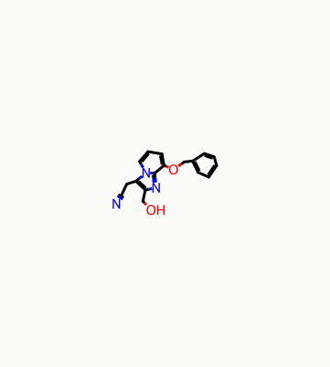 N#CCc1c(CO)nc2c(OCc3ccccc3)cccn12